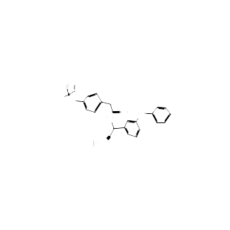 C#CC(OC(=O)Cc1ccc(OC(F)(F)C(C)C)cc1)c1cccc(Oc2ccccc2)c1